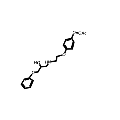 CC(=O)OOc1ccc(OCCNCC(O)COc2ccccc2)cc1